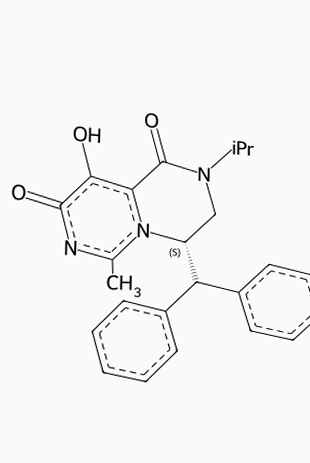 Cc1nc(=O)c(O)c2n1[C@@H](C(c1ccccc1)c1ccccc1)CN(C(C)C)C2=O